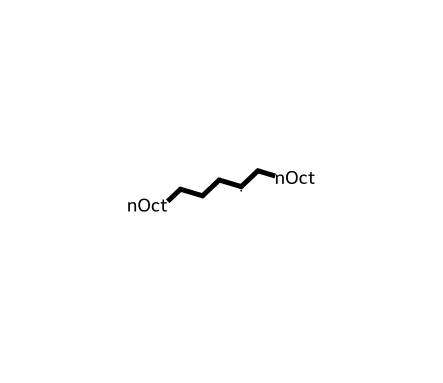 [CH2]CCCCCCCCCC[CH]CCCCCCCCC